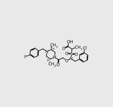 CC(C(=O)O)S(=O)(=O)N(Cc1cccc(Cl)c1)OCC(=O)N1C[C@H](C)N(Cc2ccc(F)cc2)C[C@H]1C